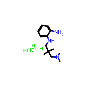 CN(C)CC(C)(C)CNc1ccccc1N.Cl.Cl.Cl